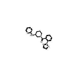 O=C(c1ccccc1-n1nccn1)N1CCCC(Nc2ccccn2)C1